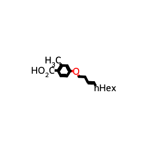 CCCCCCC=CCCOc1ccc(C(=O)O)c(C)c1